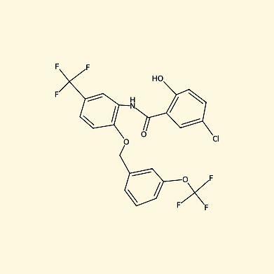 O=C(Nc1cc(C(F)(F)F)ccc1OCc1cccc(OC(F)(F)F)c1)c1cc(Cl)ccc1O